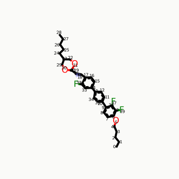 CCCCCOc1ccc(-c2ccc(-c3ccc(/C=C/C4OCC(CCCCC)CO4)c(F)c3)cc2)c(F)c1F